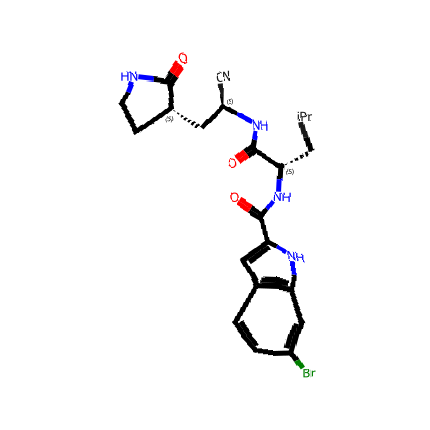 CC(C)C[C@H](NC(=O)c1cc2ccc(Br)cc2[nH]1)C(=O)N[C@H](C#N)C[C@@H]1CCNC1=O